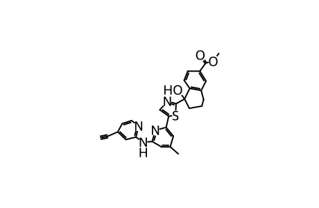 C#Cc1ccnc(Nc2cc(C)cc(-c3cnc(C4(O)CCCc5cc(C(=O)OC)ccc54)s3)n2)c1